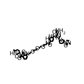 C=C1CCC(N2C(=O)c3cccc(NCCOCCOCCOCCNC(=O)c4ccc(Nc5nc(N6CCC[C@@H](N7CCN(C)C7=O)C6)cnc5C(N)=O)cc4)c3C2=O)C(=O)N1